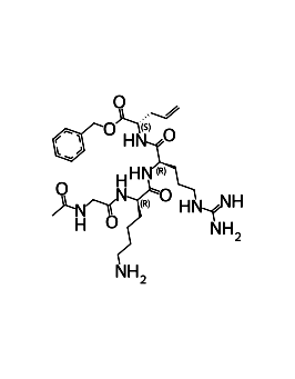 C=CC[C@H](NC(=O)[C@@H](CCCNC(=N)N)NC(=O)[C@@H](CCCCN)NC(=O)CNC(C)=O)C(=O)OCc1ccccc1